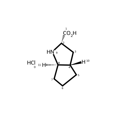 Cl.O=C(O)[C@@H]1C[C@@H]2CCC[C@H]2N1